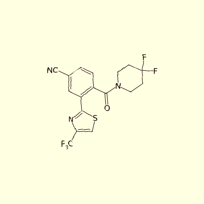 N#Cc1ccc(C(=O)N2CCC(F)(F)CC2)c(-c2nc(C(F)(F)F)cs2)c1